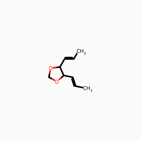 CC=CC1OCOC1C=CC